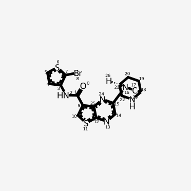 O=C(Nc1ccsc1Br)c1csc2ncc(N3CC4CC[C@@H]3CN4)nc12